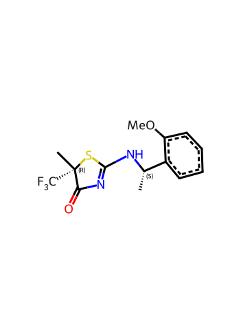 COc1ccccc1[C@H](C)NC1=NC(=O)[C@](C)(C(F)(F)F)S1